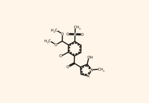 COC(OC)c1c(S(C)(=O)=O)ccc(C(=O)c2cnn(C)c2O)c1Cl